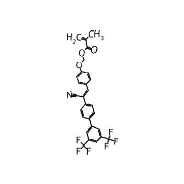 C=C(C)C(=O)OCOc1ccc(/C=C(\C#N)c2ccc(-c3cc(C(F)(F)F)cc(C(F)(F)F)c3)cc2)cc1